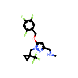 CNCc1cc(OCc2cc(F)c(F)cc2F)n(CC2(C(F)(F)F)CC2)n1